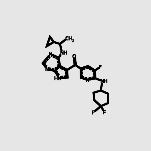 CC(Nc1ncnc2[nH]cc(C(=O)c3cnc(NC4CCC(F)(F)CC4)c(F)c3)c12)C1CC1